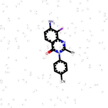 CC(C)c1nc2c(I)c(N)ccc2c(=O)n1-c1ccc(C#N)cc1